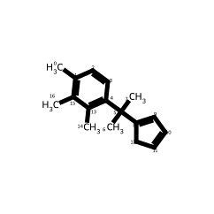 Cc1ccc(C(C)(C)C2=CC=CC2)c(C)c1C